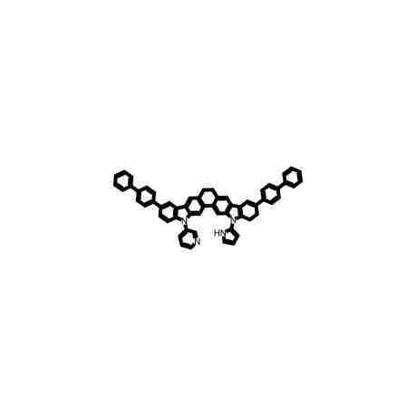 C1=C(c2ccc(-c3ccccc3)cc2)CCc2c1c1cc3c(cc1n2-c1ccc[nH]1)-c1cc2c(cc1CC3)c1cc(-c3ccc(-c4ccccc4)cc3)ccc1n2-c1cccnc1